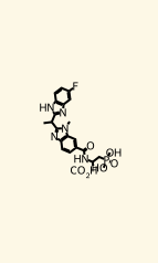 CC(c1nc2cc(F)ccc2[nH]1)c1nc2ccc(C(=O)NC(CP(=O)(O)O)C(=O)O)cc2n1C